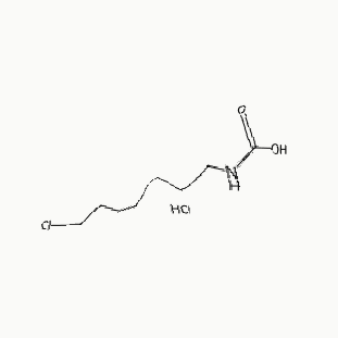 Cl.O=C(O)NCCCCCCCl